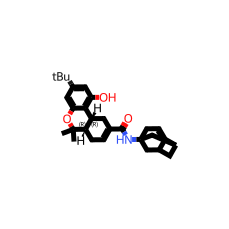 CC(C)(C)c1cc(O)c2c(c1)OC(C)(C)[C@@H]1CC=C(C(=O)NC34CC=C5C(CC5C3)C4)C[C@@H]21